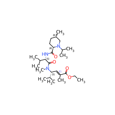 CCOC(=O)/C(C)=C/[C@H](C(C)C)N(C)C(=O)[C@@H](NC(=O)[C@H]1CC[C@@H](C)CN1C(C)C)C(C)C